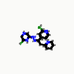 Fc1cncc(NN=C(Cc2ccccn2)c2ccnc(Br)c2)n1